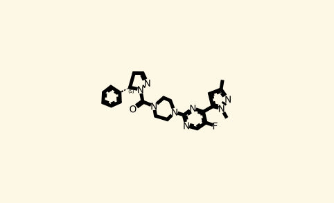 Cc1cc(-c2nc(N3CCN(C(=O)N4N=CC[C@H]4c4ccccc4)CC3)ncc2F)n(C)n1